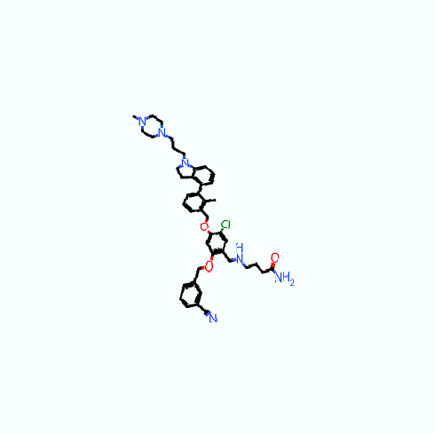 Cc1c(COc2cc(OCc3cccc(C#N)c3)c(CNCCCC(N)=O)cc2Cl)cccc1-c1cccc2c1CCN2CCCN1CCN(C)CC1